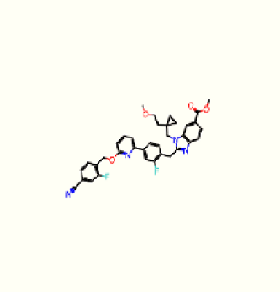 COCCC1(Cn2c(Cc3ccc(-c4cccc(OCc5ccc(C#N)cc5F)n4)cc3F)nc3ccc(C(=O)OC)cc32)CC1